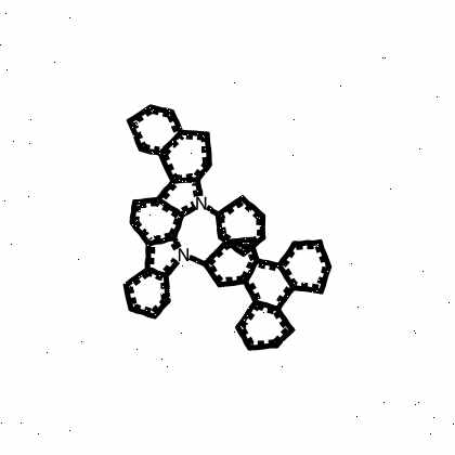 c1ccc(-n2c3ccc4ccccc4c3c3ccc4c5ccccc5n(-c5ccc6c7ccccc7c7ccccc7c6c5)c4c32)cc1